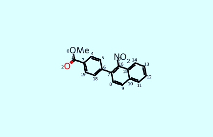 COC(=O)c1ccc(-c2ccc3ccccc3c2[N+](=O)[O-])cc1